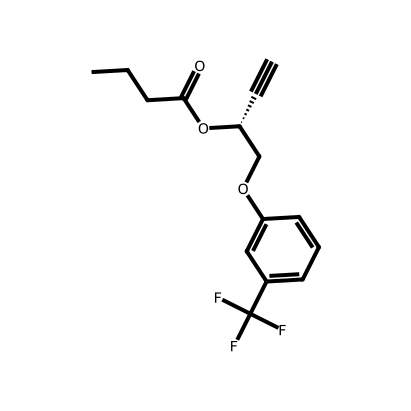 C#C[C@H](COc1cccc(C(F)(F)F)c1)OC(=O)CCC